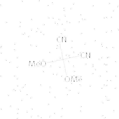 COC(C#N)(C#N)OC